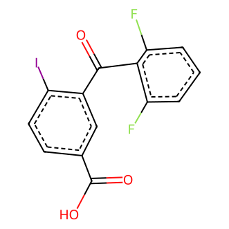 O=C(O)c1ccc(I)c(C(=O)c2c(F)cccc2F)c1